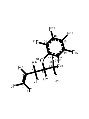 FC(F)=C(F)C(F)(F)C(F)(Oc1c(F)c(F)c(F)c(F)c1F)C(F)(F)F